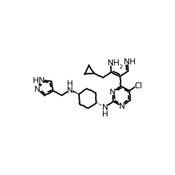 N=C/C(=C(\N)CC1CC1)c1nc(N[C@H]2CC[C@H](NCc3cn[nH]c3)CC2)ncc1Cl